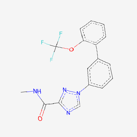 CNC(=O)c1ncn(-c2cccc(-c3ccccc3OC(F)(F)F)c2)n1